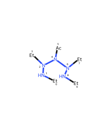 CCNN(CC)N(C(C)=O)N(CC)NCC